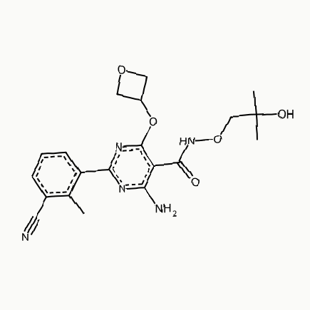 Cc1c(C#N)cccc1-c1nc(N)c(C(=O)NOCC(C)(C)O)c(OC2COC2)n1